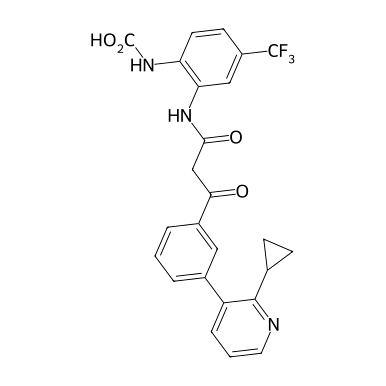 O=C(O)Nc1ccc(C(F)(F)F)cc1NC(=O)CC(=O)c1cccc(-c2cccnc2C2CC2)c1